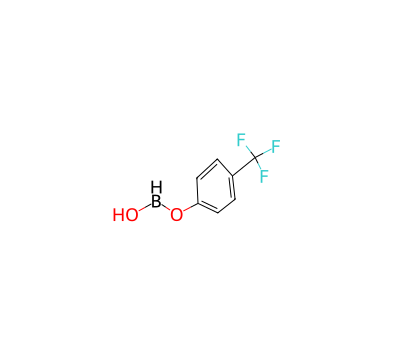 OBOc1ccc(C(F)(F)F)cc1